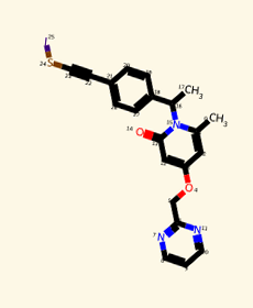 Cc1cc(OCc2ncccn2)cc(=O)n1C(C)c1ccc(C#CSI)cc1